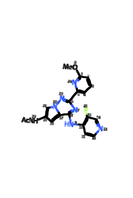 COc1cccc(-c2nc(Nc3ccncc3F)c3cc(NC(C)=O)cn3n2)n1